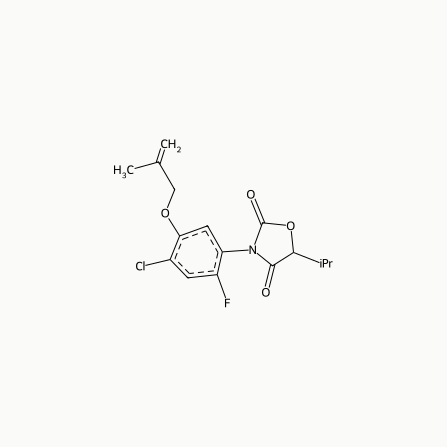 C=C(C)COc1cc(N2C(=O)OC(C(C)C)C2=O)c(F)cc1Cl